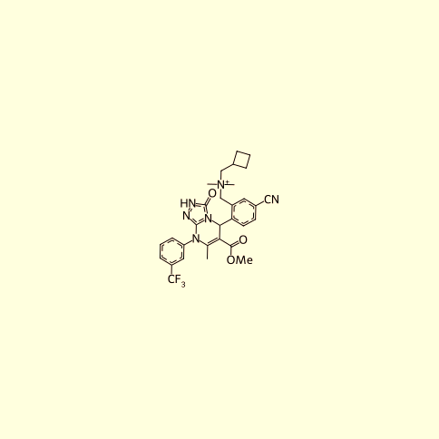 COC(=O)C1=C(C)N(c2cccc(C(F)(F)F)c2)c2n[nH]c(=O)n2C1c1ccc(C#N)cc1C[N+](C)(C)CC1CCC1